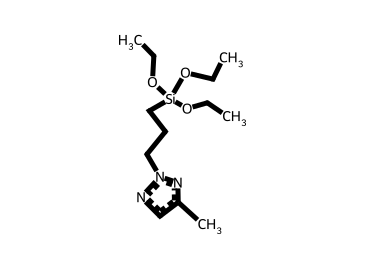 CCO[Si](CCCn1ncc(C)n1)(OCC)OCC